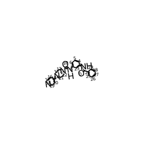 O=C(Nc1cccc(NC(=O)N2CCN(c3ccncc3)CC2)c1)c1ccccc1